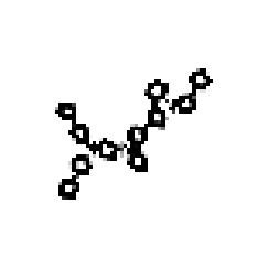 c1ccc(-c2ccc(N(c3ccc(-c4ccccc4)cc3)c3ccc(-n4c5ccccc5c5cc(-c6ccc7c(c6)c6ccccc6n7-c6cccc(-c7ccccc7)c6)ccc54)cc3)cc2)cc1